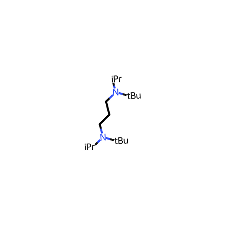 CC(C)N(CCCN(C(C)C)C(C)(C)C)C(C)(C)C